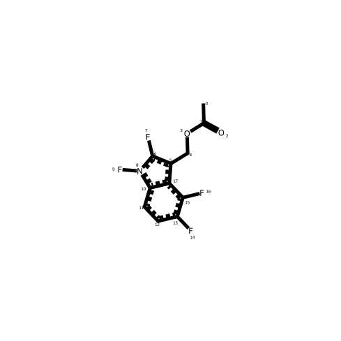 CC(=O)OCc1c(F)n(F)c2ccc(F)c(F)c12